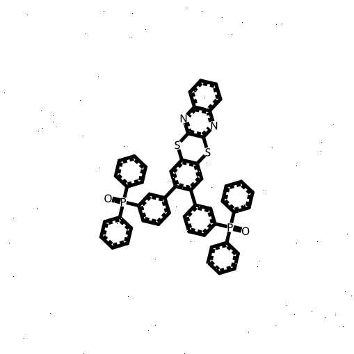 O=P(c1ccccc1)(c1ccccc1)c1cccc(-c2cc3c(cc2-c2cccc(P(=O)(c4ccccc4)c4ccccc4)c2)Sc2nc4ccccc4nc2S3)c1